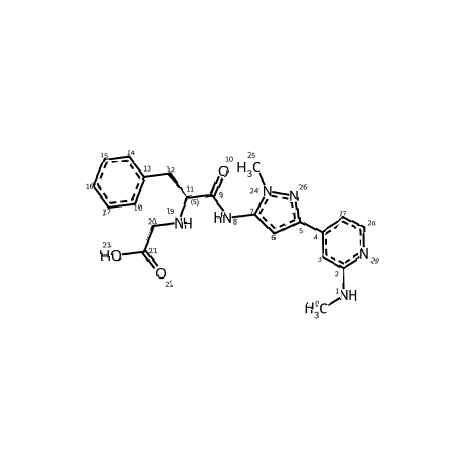 CNc1cc(-c2cc(NC(=O)[C@H](Cc3ccccc3)NCC(=O)O)n(C)n2)ccn1